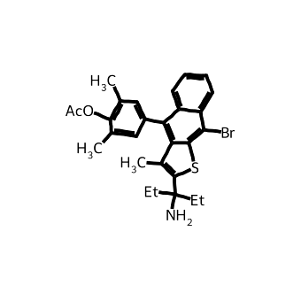 CCC(N)(CC)c1sc2c(Br)c3ccccc3c(-c3cc(C)c(OC(C)=O)c(C)c3)c2c1C